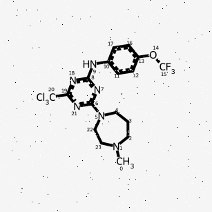 CN1CCCN(c2nc(Nc3ccc(OC(F)(F)F)cc3)nc(C(Cl)(Cl)Cl)n2)CC1